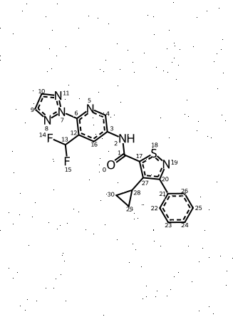 O=C(Nc1cnc(-n2nccn2)c(C(F)F)c1)c1snc(-c2ccccc2)c1C1CC1